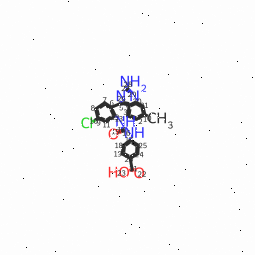 Cc1ccc2c(-c3ccc(Cl)cc3NC(=O)Nc3ccc(C(=O)O)cc3)nc(N)nc2c1